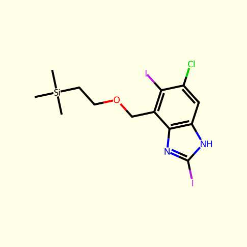 C[Si](C)(C)CCOCc1c(I)c(Cl)cc2[nH]c(I)nc12